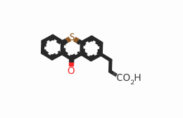 O=C(O)CCc1ccc2sc3ccccc3c(=O)c2c1